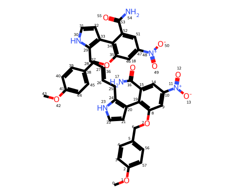 COc1ccc(COc2cc([N+](=O)[O-])cc(C(N)=O)c2-c2cc[nH]c2CC=CCc2[nH]ccc2-c2c(OCc3ccc(OC)cc3)cc([N+](=O)[O-])cc2C(N)=O)cc1